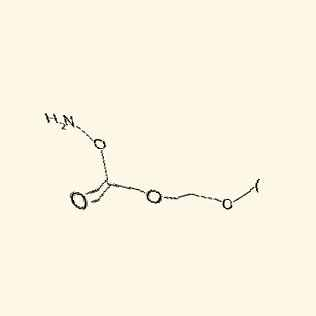 NOC(=O)OCOI